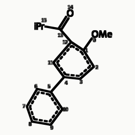 COc1ccc(-c2ccccc2)cc1C(=O)C(C)C